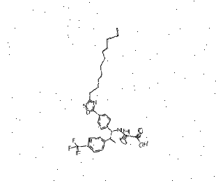 CCCCCCCCCCCc1noc(-c2ccc(C(NC(=O)C(=O)O)C(C)c3ccc(C(F)(F)F)cc3)cc2)n1